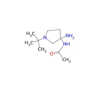 CC(=O)NC1(N)CCN(C(C)(C)C)C1